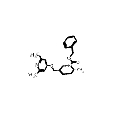 Cc1cc(OC[C@@H]2CC[C@@H](C)N(C(=O)OCc3ccccc3)C2)cc(C)n1